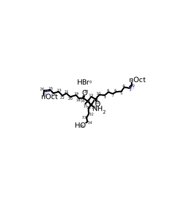 Br.CCCCCCCC/C=C\CCCCCCCC(=O)CC(C)(C(=O)CCCCCCC/C=C\CCCCCCCC)C(C)(N)CCCCO